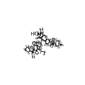 CCCCN1C(=O)[C@@H]([C@H](O)C2CCCCC2)NC(=O)C12CCN(C(c1ccc(S(=O)(=O)N3CCN(C)CC3)cc1)c1c(C)n[nH]c1C)CC2.Cl